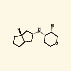 CC[C@@H]1COCC[C@@H]1N[C@@H]1C[C]2CCC[C@@H]2C1